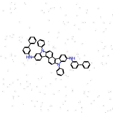 c1ccc(-c2cccc(Nc3ccc4c5c6ccc7c(c6ccc5n(-c5ccccc5)c4c3)c3ccc(Nc4cccc(-c5ccccc5)c4)cc3n7-c3ccccc3)c2)cc1